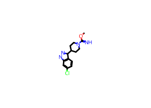 COC(=N)N1CCC(C2N=Nc3cc(Cl)ccc32)CC1